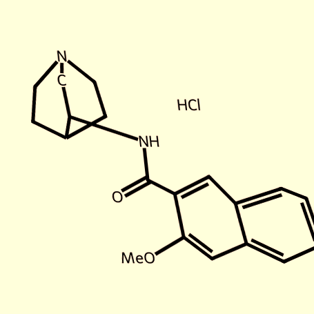 COc1cc2ccccc2cc1C(=O)NC1CN2CCC1CC2.Cl